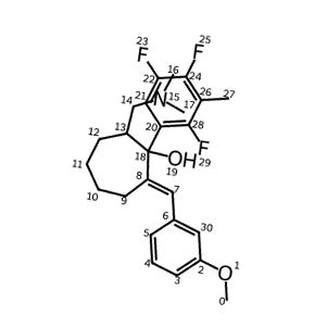 COc1cccc(C=C2CCCCC(CN(C)C)C2(O)c2cc(F)c(F)c(C)c2F)c1